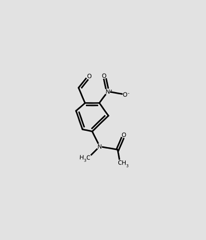 CC(=O)N(C)c1ccc(C=O)c([N+](=O)[O-])c1